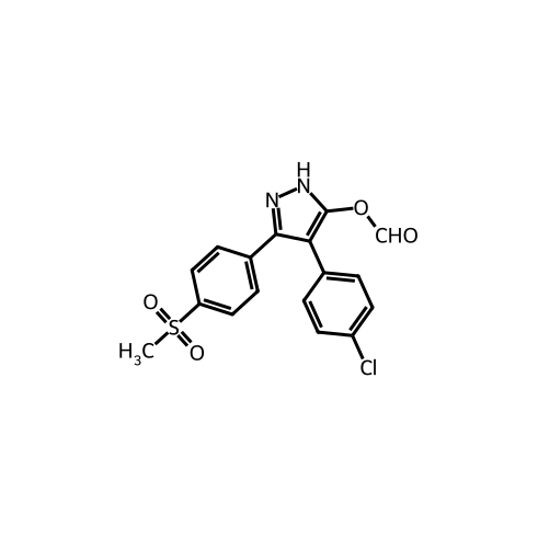 CS(=O)(=O)c1ccc(-c2n[nH]c(OC=O)c2-c2ccc(Cl)cc2)cc1